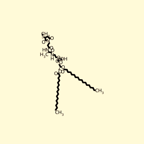 CCCCCCCCCCCCCCCCCC(=O)OC[C@H](COP(=O)(O)OCCNC(=O)C(C)NC(=O)CCN1C(=O)CC(SC)C1=O)OC(=O)CCCCCCCCCCCCCCCCC